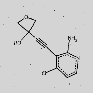 Nc1nccc(Cl)c1C#CC1(O)COC1